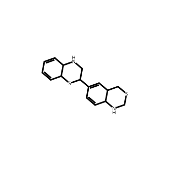 C1=CC2NCC(C3=CC4CSCNC4C=C3)SC2C=C1